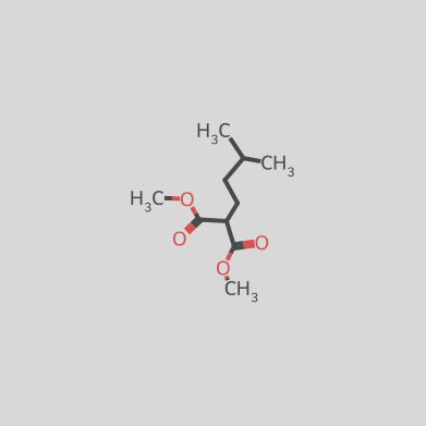 COC(=O)C(CCC(C)C)C(=O)OC